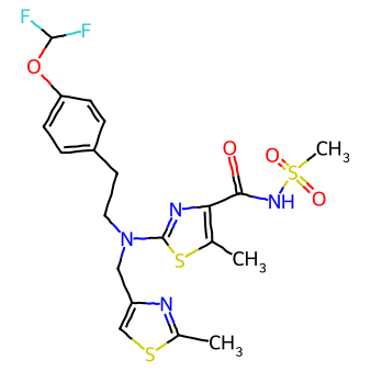 Cc1nc(CN(CCc2ccc(OC(F)F)cc2)c2nc(C(=O)NS(C)(=O)=O)c(C)s2)cs1